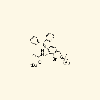 CC(C)(C)OC(=O)NCc1c(N=C(c2ccccc2)c2ccccc2)ccc(CO[Si](C)(C)C(C)(C)C)c1Br